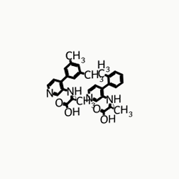 Cc1cc(C)cc(-c2ccncc2N[C@@H](C)C(=O)O)c1.Cc1ccccc1-c1ccncc1N[C@@H](C)C(=O)O